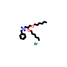 CCCCCCOCC(C[N+](C)(C)Cc1ccccc1)OCCCCCC.[Br-]